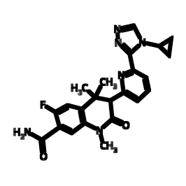 CN1C(=O)C(c2cccc(-c3nncn3C3CC3)n2)C(C)(C)c2cc(F)c(C(N)=O)cc21